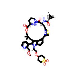 CO[C@@H](C)c1ncccc1-c1c2c3cc(ccc3n1CCOC1CCS(=O)(=O)CC1)-c1csc(n1)C[C@H](NC(=O)[C@H]1[C@H](C)[C@@H]1C)C(=O)N1CCC[C@H](N1)C(=O)OCC(C)(C)C2